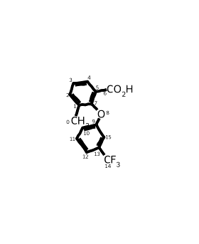 Cc1cccc(C(=O)O)c1Oc1cccc(C(F)(F)F)c1